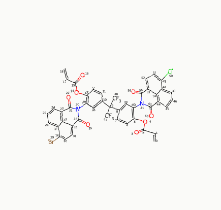 C=CC(=O)Oc1ccc(C(c2ccc(OC(=O)C=C)c(N3C(=O)c4cccc5c(Br)ccc(c45)C3=O)c2)(C(F)(F)F)C(F)(F)F)cc1N1C(=O)c2cccc3c(Cl)ccc(c23)C1=O